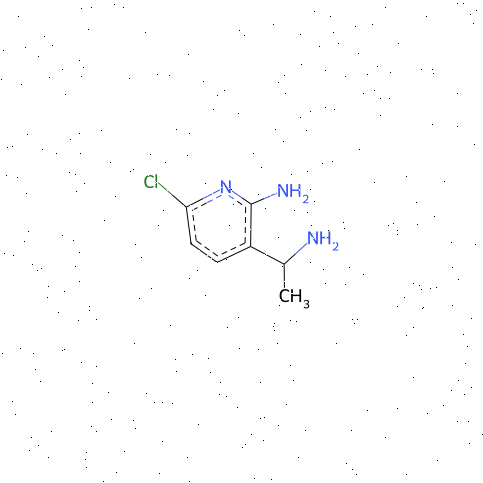 CC(N)c1ccc(Cl)nc1N